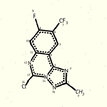 Cc1nc2c3cc(C(F)(F)F)c(F)cc3nc(Cl)n2n1